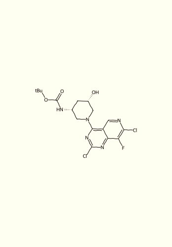 CC(C)(C)OC(=O)N[C@@H]1C[C@H](O)CN(c2nc(Cl)nc3c(F)c(Cl)ncc23)C1